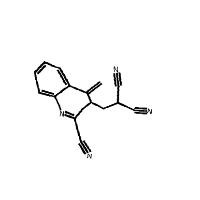 C=C1c2ccccc2N=C(C#N)C1CC(C#N)C#N